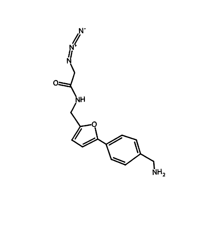 [N-]=[N+]=NCC(=O)NCc1ccc(-c2ccc(CN)cc2)o1